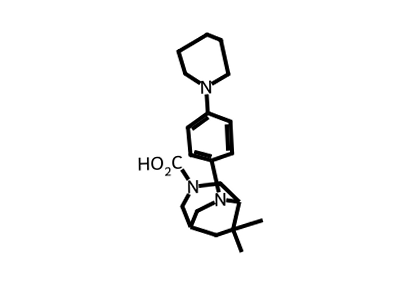 CC1(C)CC2CN(C(=O)O)CC1N(c1ccc(N3CCCCC3)cc1)C2